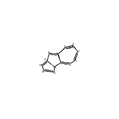 [C]1=C2C=CC=CC=C2C2C=CC=C12